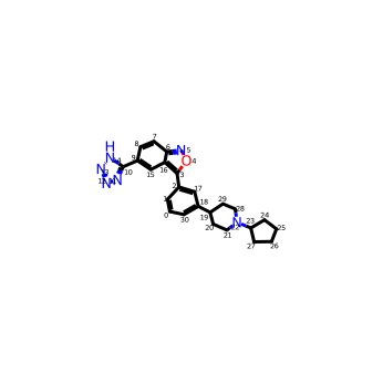 c1cc(-c2onc3ccc(-c4nnn[nH]4)cc23)cc(C2CCN(C3CCCC3)CC2)c1